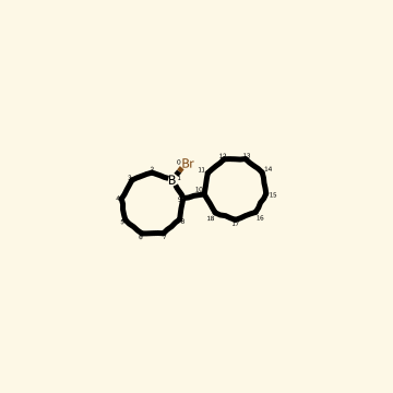 BrB1CCCCCCCC1C1CCCCCCCC1